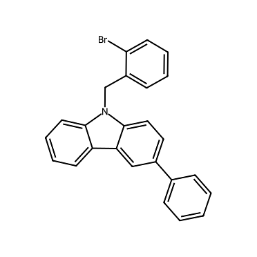 Brc1ccccc1Cn1c2ccccc2c2cc(-c3ccccc3)ccc21